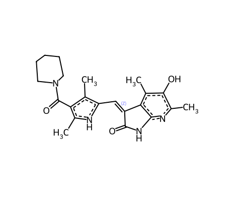 Cc1nc2c(c(C)c1O)/C(=C/c1[nH]c(C)c(C(=O)N3CCCCC3)c1C)C(=O)N2